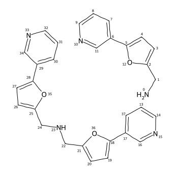 NCc1ccc(-c2cccnc2)o1.c1cncc(-c2ccc(CNCc3ccc(-c4cccnc4)o3)o2)c1